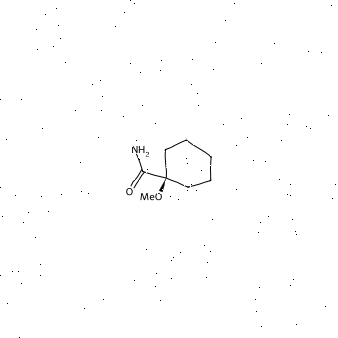 CO[C@@]1(C(N)=O)C[CH]CCC1